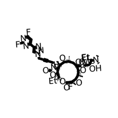 CCO[C@@H](O[C@@H]1[C@@H](C)C(=O)[C@](C)(F)C(=O)O[C@H](CC)[C@@]2(C)OC(=O)N(CC#CCn3cc(-c4cc(F)nc(F)n4)nn3)[C@@H]2[C@@H](C)C(=O)[C@H](C)C[C@@]1(C)OC)C(O)C(CC)N(C)C